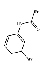 CC(C)C(=O)NC1=CC(C(C)C)CC=C1